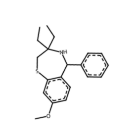 CCC1(CC)CSc2cc(OC)ccc2C(c2ccccc2)N1